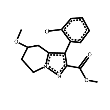 COC(=O)c1nn2c(c1-c1ccccc1Cl)CC(OC)CC2